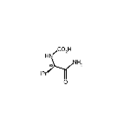 CC(C)[C@@H](NC(=O)O)C(N)=O